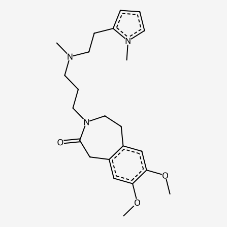 COc1cc2c(cc1OC)CC(=O)N(CCCN(C)CCc1cccn1C)CC2